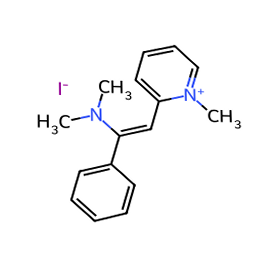 CN(C)C(=Cc1cccc[n+]1C)c1ccccc1.[I-]